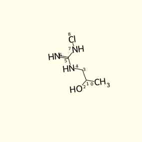 CC(O)CNC(=N)NCl